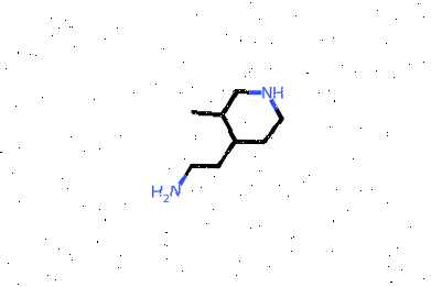 CC1CNCCC1CCN